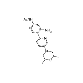 CC(=O)Nc1cc(N)c(-c2ccc(N3CC(C)OC(C)C3)cn2)cn1